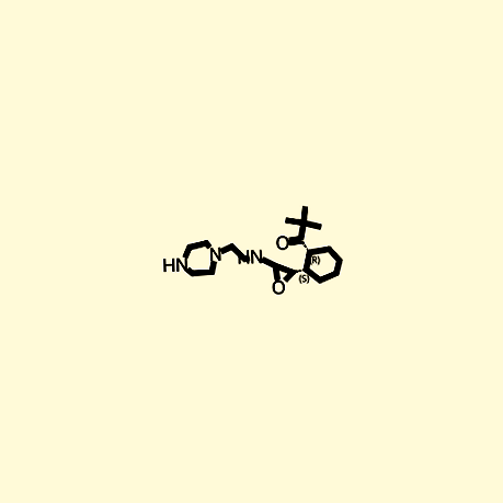 CC(C)(C)C(=O)[C@@H]1CCCC[C@@H]1C1OC1NCCN1CCNCC1